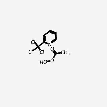 CC(=O)OO.ClC(Cl)(Cl)c1ccccn1